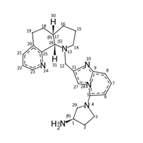 N[C@@H]1CCN(c2cccc3nc(CN4CCC[C@H]5CCc6cccnc6[C@H]54)cn23)C1